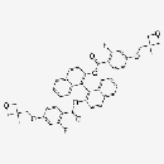 CC1(COc2ccc(C(=O)Oc3ccc4ccccc4c3-c3c(OC(=O)c4ccc(OCC5(C)COC5)cc4F)ccc4ccccc34)c(F)c2)COC1